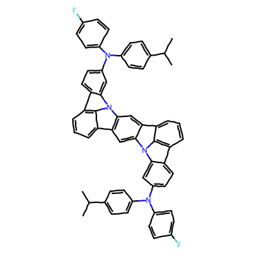 CC(C)c1ccc(N(c2ccc(F)cc2)c2ccc3c4cccc5c6cc7c(cc6n(c3c2)c45)c2cccc3c4ccc(N(c5ccc(F)cc5)c5ccc(C(C)C)cc5)cc4n7c32)cc1